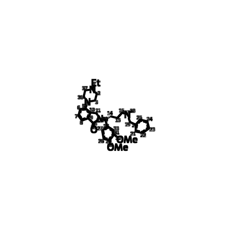 CCN1CCN(c2cccc3c2CN([C@H](CCCN(C)Cc2ccccc2)c2ccc(OC)c(OC)c2)C3=O)CC1